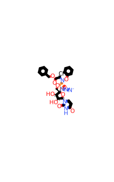 CC(C(=O)OCc1ccccc1)N(Oc1ccccc1)[PH](=O)OC[C@@]1(N=[N+]=[N-])O[C@@H](n2ccc(=O)[nH]c2=O)[C@H](O)[C@@H]1O